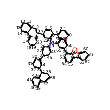 c1ccc(-c2ccc(-c3cc4ccccc4c4ccccc34)cc2N(c2ccc(-c3cccc(-c4cccc5ccccc45)c3)cc2)c2cccc(-c3cccc4c3oc3ccccc34)c2)cc1